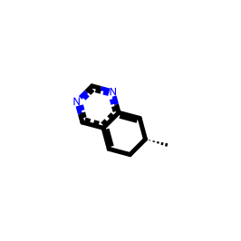 C[C@H]1C=c2ncncc2=CC1